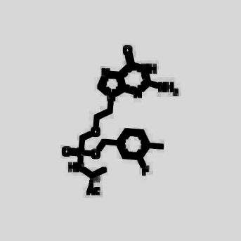 CC(=O)[C@@H](C)NP(=O)(COCCn1cnc2c(=O)[nH]c(N)nc21)OCc1ccc(C)c(F)c1